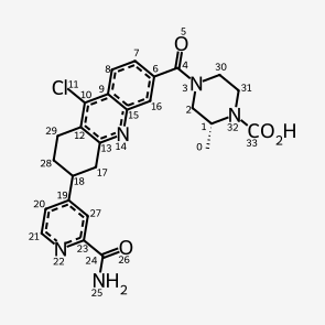 C[C@@H]1CN(C(=O)c2ccc3c(Cl)c4c(nc3c2)CC(c2ccnc(C(N)=O)c2)CC4)CCN1C(=O)O